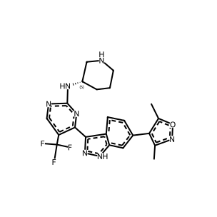 Cc1noc(C)c1-c1ccc2c(-c3nc(N[C@H]4CCCNC4)ncc3C(F)(F)F)n[nH]c2c1